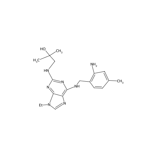 CCn1cnc2c(NCc3ccc(C)cc3N)nc(NCC(C)(C)O)nc21